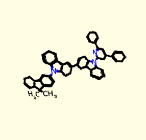 CC1(C)C2=CC=C(N3C4=C(CCC=C4)C4C=C(C5=CCC6C(C5)C5C=CC=CC5N6C5CC(C6=CCCC=C6)=CC(C6=CCCC=C6)=N5)CCC43)CC2C2CCC=CC21